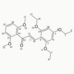 CCOc1cc(OCC)c(/C=C/C(=O)c2c(OC)cccc2OC)c(OCC)c1